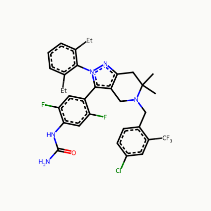 CCc1cccc(CC)c1-n1nc2c(c1-c1cc(F)c(NC(N)=O)cc1F)CN(Cc1ccc(Cl)cc1C(F)(F)F)C(C)(C)C2